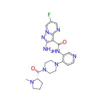 CN1CCC[C@H]1C(=O)N1CCN(c2ccncc2NC(=O)c2c(N)nn3cc(F)cnc23)CC1